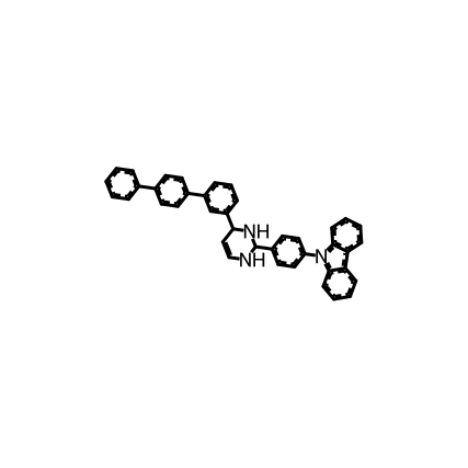 C1=CC(c2cccc(-c3ccc(-c4ccccc4)cc3)c2)NC(c2ccc(-n3c4ccccc4c4ccccc43)cc2)N1